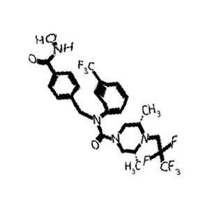 C[C@@H]1CN(C(=O)N(Cc2ccc(C(=O)NO)cc2)c2cccc(C(F)(F)F)c2)C[C@H](C)N1CC(F)(F)C(F)(F)F